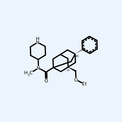 CCOC[C@]12CC3CC(C(=O)N(C)C4CCNCC4)(C1)C[C@@](c1ccccc1)(C3)C2